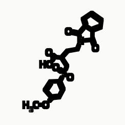 COc1ccc(S(=O)(=O)CC(CCN2C(=O)c3ccccc3C2=O)C(=O)O)cc1